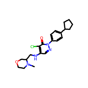 CN1CCOCC1CNc1cnn(-c2ccc(C3CCCC3)cc2)c(=O)c1Cl